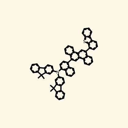 CC1(C)c2ccccc2-c2ccc(N(c3ccc4c(c3)C(C)(C)c3ccccc3-4)c3ccc(-c4cc5c6ccccc6c(-c6cccc7c6sc6ccccc67)cc5c5ccccc45)c4ccccc34)cc21